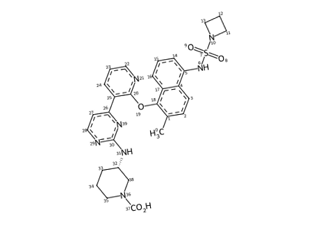 Cc1ccc2c(NS(=O)(=O)N3CCC3)cccc2c1Oc1ncccc1-c1ccnc(N[C@H]2CCCN(C(=O)O)C2)n1